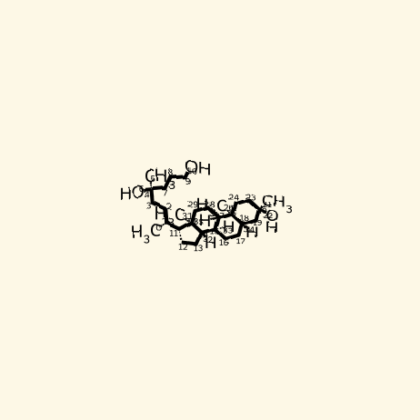 C[C@H](CC[C@@](C)(O)CCCO)[C@H]1CC[C@H]2[C@@H]3CC[C@H]4C[C@@](C)(O)CC[C@]4(C)[C@H]3CC[C@]12C